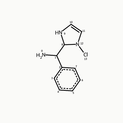 NC(c1ccccc1)C1NC=CN1Cl